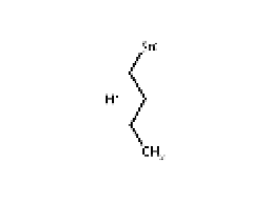 CCC[CH2][Sn].[H-]